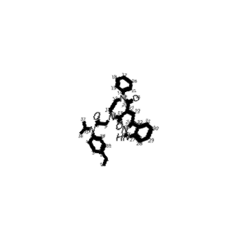 CCc1ccc(N(C(=O)CN2C=CN(c3ccccc3)C(=O)C(Cc3n[nH]c4ccccc34)C2=O)C(C)C)cc1